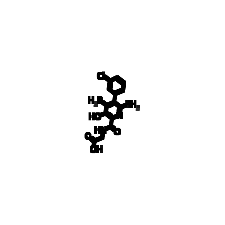 Bc1nc(C(=O)NCC(=O)O)c(O)c(B)c1-c1cccc(Cl)c1